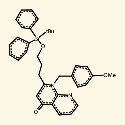 COc1ccc(Cn2c(CCCO[Si](c3ccccc3)(c3ccccc3)C(C)(C)C)cc(=O)c3cccnc32)cc1